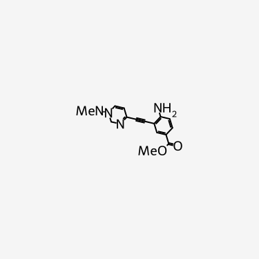 CNN1C=CC(C#Cc2cc(C(=O)OC)ccc2N)=NC1